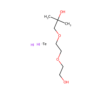 CC(C)(O)COCCOCCO.I.I.[Te]